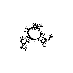 CC[C@H]1OC(=O)[C@H](C)[C@@H](OC2C[C@@](C)(OC)[C@@H](O[Si](C)(C)C)[C@H](C)O2)[C@H](C)[C@@H](OC2O[C@H](C)C[C@H](N(C)C)[C@H]2O[Si](C)(C)C)[C@@](C)(O)C[C@@H](C)C(=O)[C@H](C)[C@@H](O)[C@]1(C)O